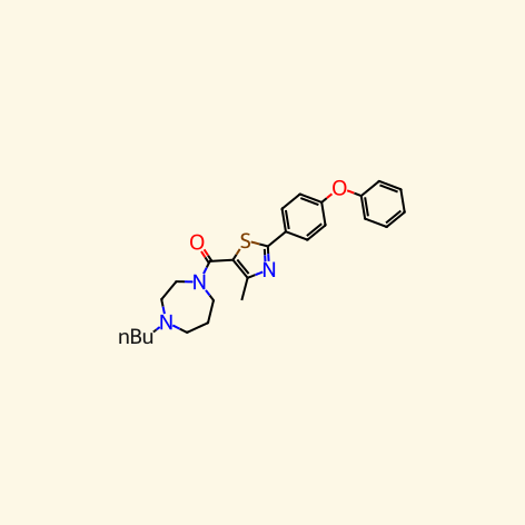 CCCCN1CCCN(C(=O)c2sc(-c3ccc(Oc4ccccc4)cc3)nc2C)CC1